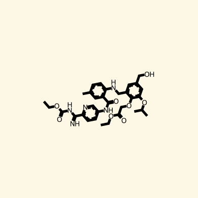 CCOC(=O)COc1c(CNc2ccc(C)cc2C(=O)Nc2ccc(C(=N)NC(=O)OCC)nc2)cc(CO)cc1OC(C)C